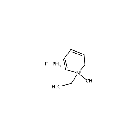 CC[N+]1(C)C=CC=CC1.P.[I-]